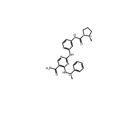 C[C@@H]1CCCN1C(=O)Nc1cccc(Nc2ncc(C(N)=O)c(N[C@H](C)c3ccccc3)n2)c1